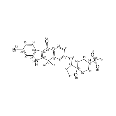 CC1(C)c2cc(OC3CCOC34CCN(S(C)(=O)=O)CC4)ccc2C(=O)c2c1[nH]c1cc(Br)ccc21